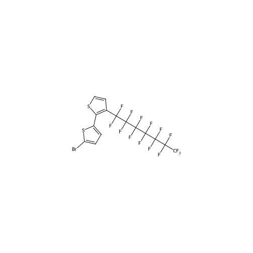 FC(F)(F)C(F)(F)C(F)(F)C(F)(F)C(F)(F)C(F)(F)C(F)(F)c1ccsc1-c1ccc(Br)s1